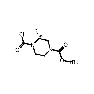 C[C@@H]1CN(C(=O)OC(C)(C)C)CCN1C(=O)Cl